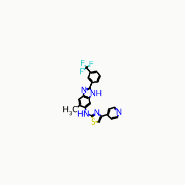 Cc1cc2nc(-c3cccc(C(F)(F)F)c3)[nH]c2cc1Nc1nc(-c2ccncc2)cs1